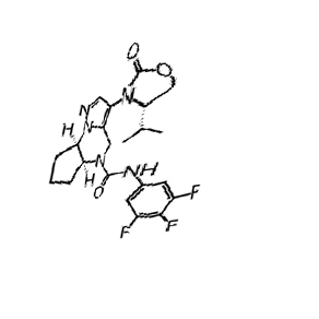 CC(C)[C@H]1COC(=O)N1c1cnn2c1CN(C(=O)Nc1cc(F)c(F)c(F)c1)[C@H]1CCC[C@H]12